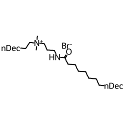 CCCCCCCCCCCCCCCCCC(=O)NCCC[N+](C)(C)CCCCCCCCCCCC.[Br-]